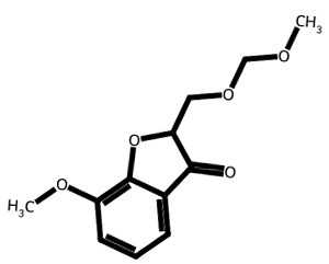 COCOCC1Oc2c(OC)cccc2C1=O